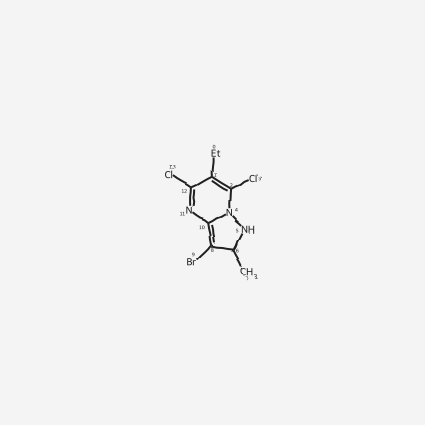 CCC1=C(Cl)N2NC(C)C(Br)=C2N=C1Cl